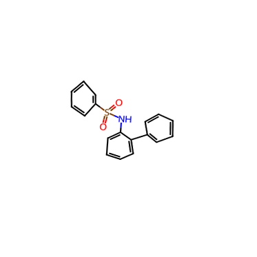 O=S(=O)(Nc1ccccc1-c1ccccc1)c1ccccc1